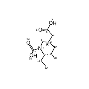 CCC[C@H](CC(=O)O)CN(CCC)C(=O)O